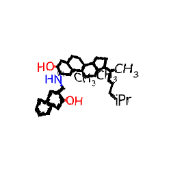 CC(C)CCCC(C)C1CCC2C3CCC4CC(O)[C@H](NCc5cc6ccccc6cc5O)CC4(C)C3CCC12C